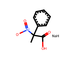 CC(C(=O)O)(c1ccccc1)[N+](=O)[O-].[NaH]